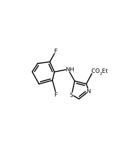 CCOC(=O)c1ncsc1Nc1c(F)cccc1F